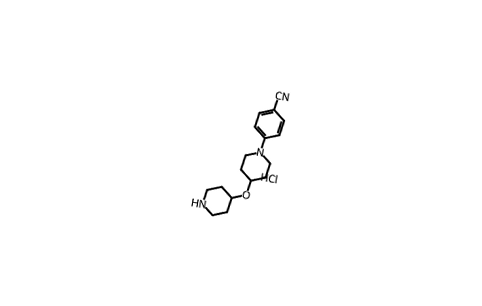 Cl.N#Cc1ccc(N2CCC(OC3CCNCC3)CC2)cc1